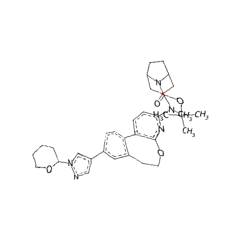 CN(c1ccc2c(n1)OCCc1cc(-c3cnn(C4CCCCO4)c3)ccc1-2)C1CC2CCC(C1)N2C(=O)OC(C)(C)C